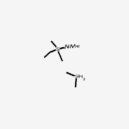 CN[Si](C)(C)C.C[SiH2]C